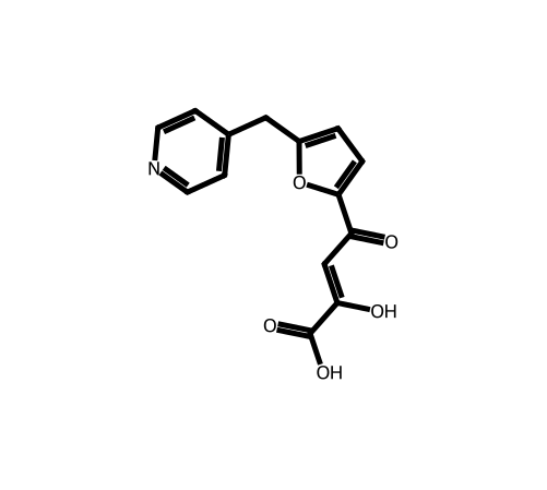 O=C(O)/C(O)=C/C(=O)c1ccc(Cc2ccncc2)o1